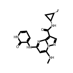 CNc1cc(Nc2ccc[nH]c2=O)nc2c(C(=O)N[C@@H]3C[C@@H]3F)cnn12